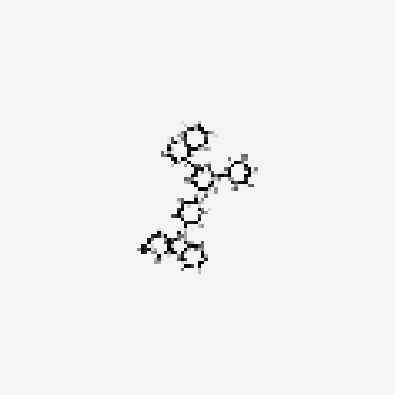 C1=Cc2c(c3ccccc3n2-c2ccc(-c3cc(-c4ccccn4)nc(-c4cccc5ccccc45)c3)cc2)CN1